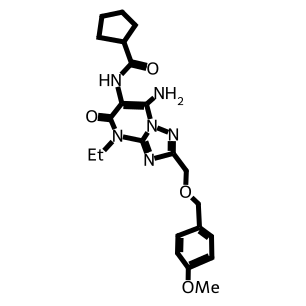 CCn1c(=O)c(NC(=O)C2CCCC2)c(N)n2nc(COCc3ccc(OC)cc3)nc12